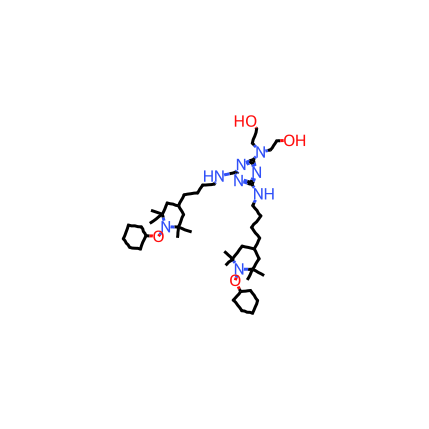 CC1(C)CC(CCCCNc2nc(NCCCCC3CC(C)(C)N(OC4CCCCC4)C(C)(C)C3)nc(N(CCO)CCO)n2)CC(C)(C)N1OC1CCCCC1